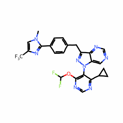 Cn1cc(C(F)(F)F)nc1-c1ccc(Cc2nn(-c3c(OC(F)F)ncnc3C3CC3)c3cncnc23)cc1